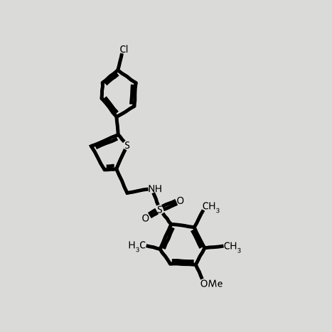 COc1cc(C)c(S(=O)(=O)NCc2ccc(-c3ccc(Cl)cc3)s2)c(C)c1C